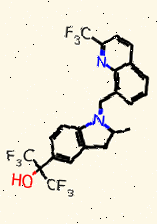 CC1Cc2cc(C(O)(C(F)(F)F)C(F)(F)F)ccc2N1Cc1cccc2ccc(C(F)(F)F)nc12